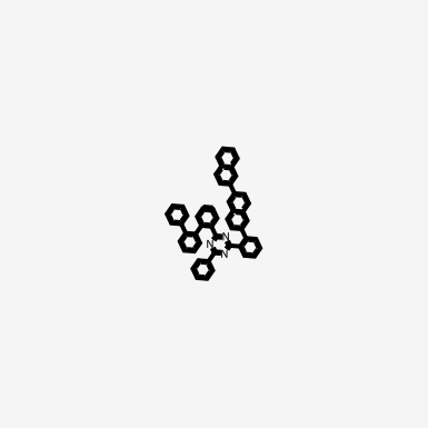 c1cc(-c2nc(-c3ccccc3)nc(-c3ccccc3-c3ccc4cc(-c5ccc6ccccc6c5)ccc4c3)n2)c(-c2ccccc2-c2ccccc2)cc#1